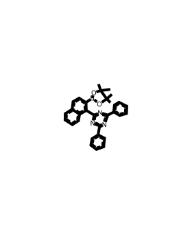 CC1(C)OB(c2ccc3ccccc3c2-c2nc(-c3ccccc3)nc(-c3ccccc3)n2)OC1(C)C